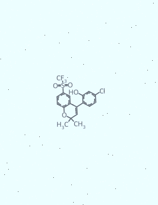 CC1(C)C=C(c2ccc(Cl)cc2O)c2cc(S(=O)(=O)C(F)(F)F)ccc2O1